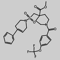 COC(=O)C1(CS(=O)(=O)N2CC=C(c3ccccc3)CC2)CCN(C(=O)c2ccc(OC(F)(F)F)cc2)CC1